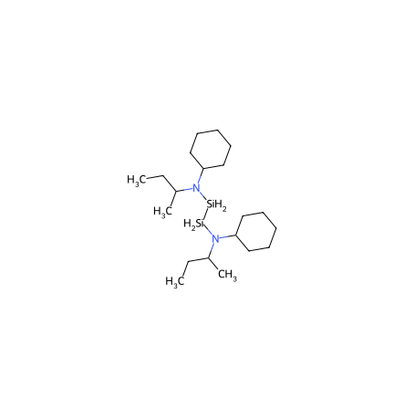 CCC(C)N([SiH2][SiH2]N(C(C)CC)C1CCCCC1)C1CCCCC1